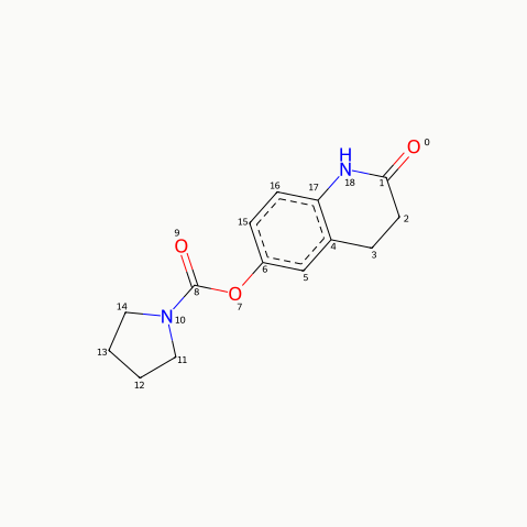 O=C1CCc2cc(OC(=O)N3CCCC3)ccc2N1